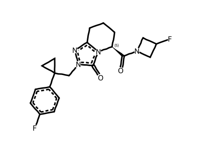 O=C([C@@H]1CCCc2nn(CC3(c4ccc(F)cc4)CC3)c(=O)n21)N1CC(F)C1